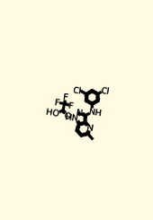 Cc1ccc2[nH]nc(Nc3cc(Cl)cc(Cl)c3)c2n1.O=C(O)C(F)(F)F